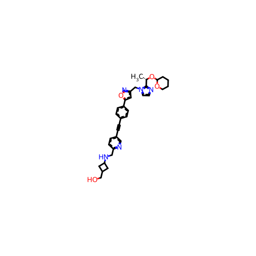 C[C@H](OC1CCCCO1)c1nccn1Cc1cc(-c2ccc(C#Cc3ccc(CNC4CC(CO)C4)nc3)cc2)on1